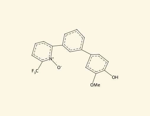 COc1cc(-c2cccc(-c3cccc(C(F)(F)F)[n+]3[O-])c2)ccc1O